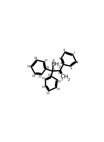 BC(C(=C)c1ccccc1)(c1ccccc1)c1ccccc1